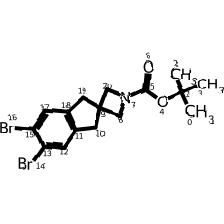 CC(C)(C)OC(=O)N1CC2(Cc3cc(Br)c(Br)cc3C2)C1